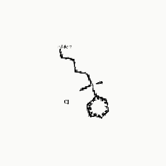 CCCCCCCCCCCCC[N+](C)(C)c1ccccc1.[Cl-]